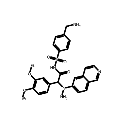 CCOc1cc(C(C(=O)NS(=O)(=O)c2ccc(CN)cc2)N(N)c2ccc3cnccc3c2)ccc1OC(C)C